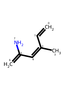 C=C/C(C)=C\C(=C)N